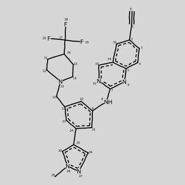 C#Cc1ccc2nc(Nc3cc(CN4CCC(C(F)(F)F)CC4)cc(-c4cnn(C)c4)c3)ncc2c1